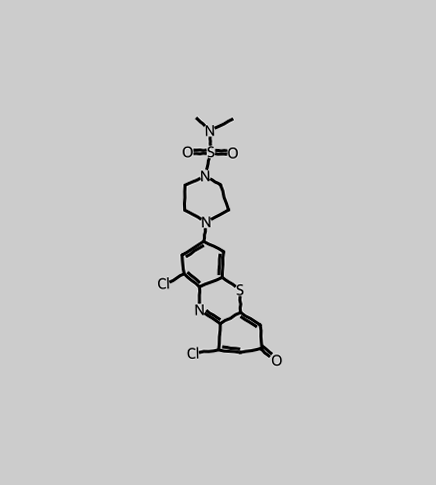 CN(C)S(=O)(=O)N1CCN(c2cc(Cl)c3nc4c(Cl)cc(=O)cc-4sc3c2)CC1